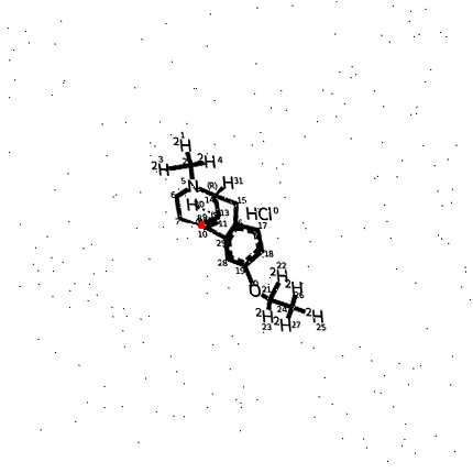 Cl.[2H]C([2H])([2H])N1CC[C@]23CCCC[C@@H]2[C@H]1Cc1ccc(OC([2H])([2H])C([2H])([2H])[2H])cc13